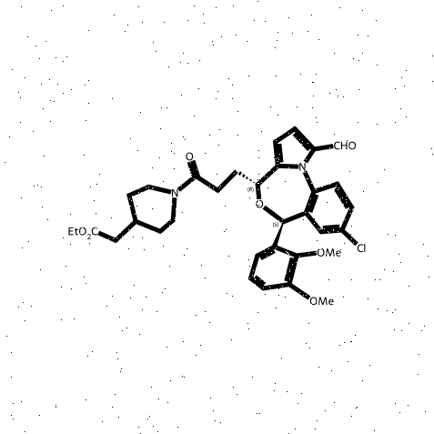 CCOC(=O)CC1CCN(C(=O)CC[C@H]2O[C@H](c3cccc(OC)c3OC)c3cc(Cl)ccc3-n3c(C=O)ccc32)CC1